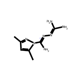 Cc1cc(C)n(/C(N)=N/N=C(N)N)n1